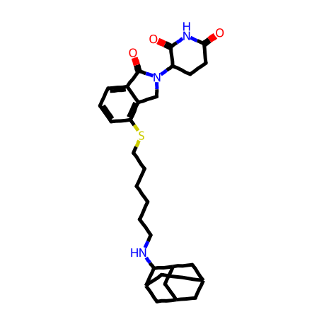 O=C1CCC(N2Cc3c(SCCCCCCNC4C5CC6CC(C5)CC4C6)cccc3C2=O)C(=O)N1